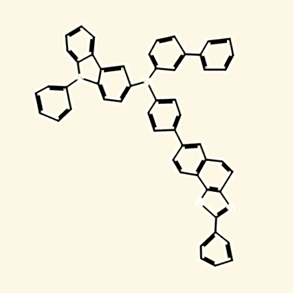 c1ccc(-c2cccc(N(c3ccc(-c4ccc5c(ccc6nc(-c7ccccc7)oc65)c4)cc3)c3ccc4c(c3)c3ccccc3n4-c3ccccc3)c2)cc1